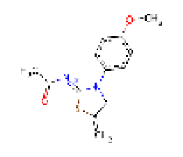 C=C1CN(c2ccc(OC)cc2)/C(=N/C(C)=O)S1